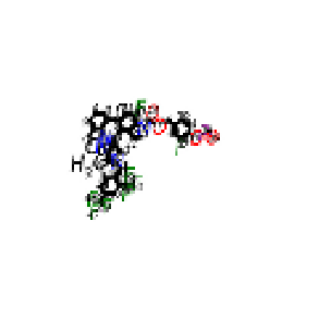 CCc1cccc(CC)c1-n1nc2c(c1-c1ccc(F)c3c1ccn3C(=O)OCc1ccc(OP=O)c(F)c1)CN(Cc1ccc(C(F)(F)F)cc1C(F)(F)F)C2(C)C